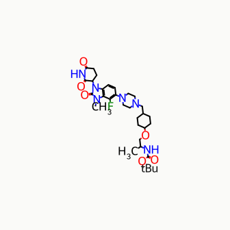 CC(COC1CCC(CN2CCN(c3ccc4c(c3F)n(C)c(=O)n4C3CCC(=O)NC3=O)CC2)CC1)NC(=O)OC(C)(C)C